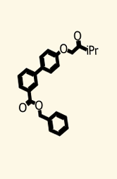 CC(C)C(=O)COc1ccc(-c2cccc(C(=O)OCc3ccccc3)c2)cc1